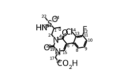 CC(Cn1c(=O)c(-c2cccc(F)c2Cl)cn(CC(=O)O)c1=O)S(C)(=N)=O